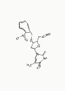 Cc1cn(C2CC(OCc3ccccc3[N+](=O)[O-])C(CO)O2)c(=O)[nH]c1=O